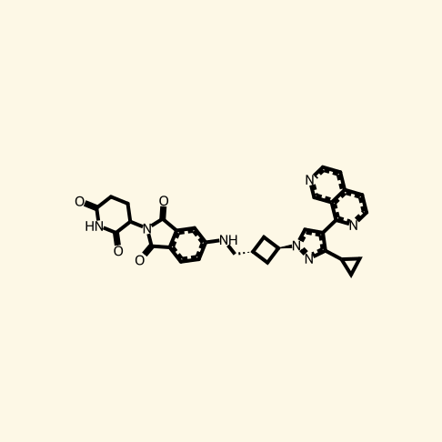 O=C1CCC(N2C(=O)c3ccc(NC[C@H]4C[C@H](n5cc(-c6nccc7ccncc67)c(C6CC6)n5)C4)cc3C2=O)C(=O)N1